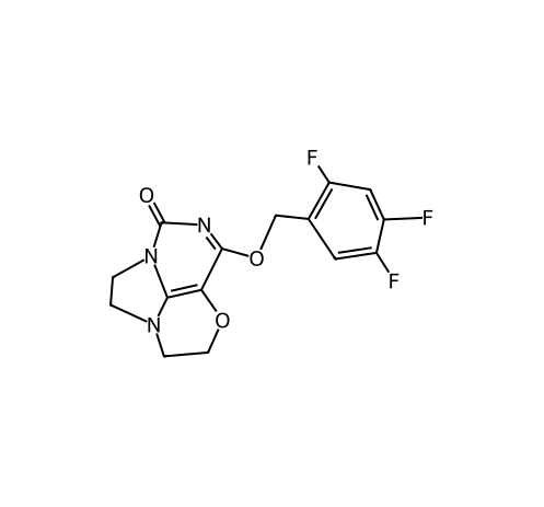 O=c1nc(OCc2cc(F)c(F)cc2F)c2c3n1CCN3CCO2